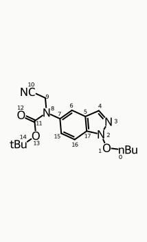 CCCCOn1ncc2cc(N(CC#N)C(=O)OC(C)(C)C)ccc21